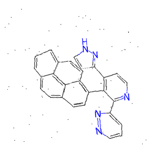 c1cnnc(-c2nccc(-c3cc[nH]n3)c2-c2ccc3ccc4cccc5ccc2c3c45)c1